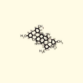 Cc1cc(C)c(B(c2c(C)cc(C)cc2C)c2cc(C(C)C)c3ccc4c(B5c6c(C)cc(C)cc6Cc6cc(C)cc(C)c65)cc(C(C)C)c5ccc2c3c45)c(C)c1